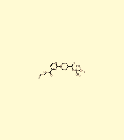 CC(C)(C)OC(=O)C1CCN(c2nccc(C(=O)NCC=O)n2)CC1